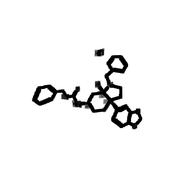 Cl.S=C(NCc1ccccc1)N[C@@H]1CC[C@@]2(c3ccc4c(c3)OCO4)CCN(Cc3ccccc3)[C@H]2C1